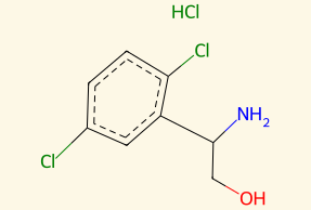 Cl.NC(CO)c1cc(Cl)ccc1Cl